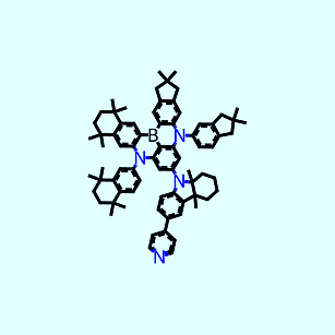 CC1(C)Cc2ccc(N3c4cc5c(cc4B4c6cc7c(cc6N(c6ccc8c(c6)C(C)(C)CCC8(C)C)c6cc(N8c9ccc(-c%10ccncc%10)cc9C9(C)CCCCC89C)cc3c64)C(C)(C)CCC7(C)C)CC(C)(C)C5)cc2C1